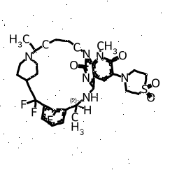 CC1CCCCn2c(=O)nc(c3cc(N4CCS(=O)(=O)CC4)c(=O)n(C)c32)N[C@H](C)c2cccc(c2F)C(F)(F)C2CCN1CC2